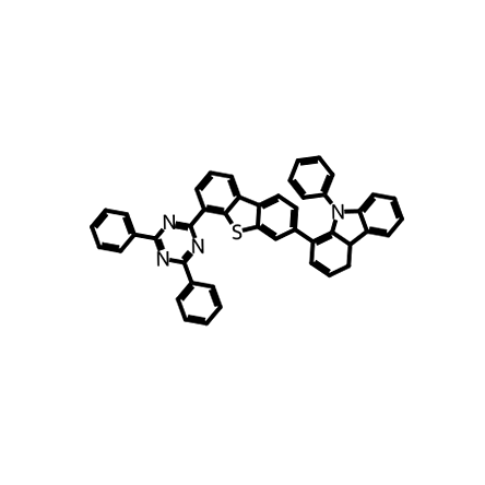 C1=CC(c2ccc3c(c2)sc2c(-c4nc(-c5ccccc5)nc(-c5ccccc5)n4)cccc23)=C2C(C1)c1ccccc1N2c1ccccc1